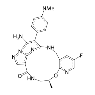 CNc1ccc(-c2c3nc4c(cnn4c2N)C(=O)NC[C@H](C)Oc2ncc(F)cc2CN3)cc1